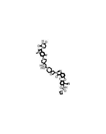 Cn1nc(N2CCC(=O)NC2=O)c2cc(F)c(N3CCC(O)(CC(O)N4CCC5(CC4)C[C@@H](n4cnc6ccc(Oc7c(F)ccc(NS(=O)(=O)N8CCC8)c7C#N)cc6c4=O)CO5)CC3)cc21